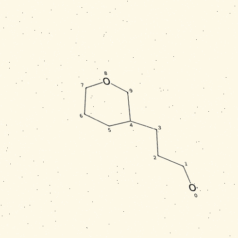 [O]CCCC1CCCOC1